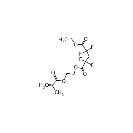 C=C(C)C(=O)OCCOC(=O)C(F)(F)CC(F)(F)C(=O)OCC